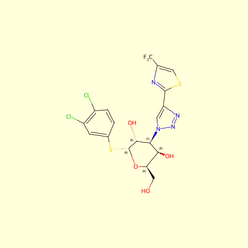 OC[C@H]1O[C@H](Sc2ccc(Cl)c(Cl)c2)[C@H](O)[C@@H](n2cc(-c3nc(C(F)(F)F)cs3)nn2)[C@H]1O